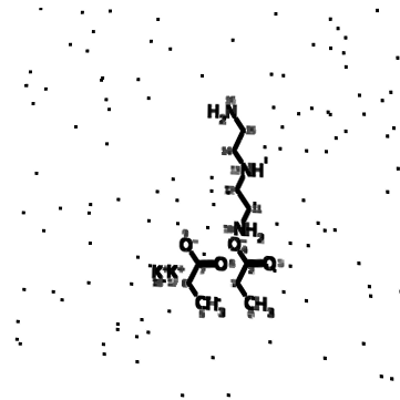 CCC(=O)[O-].CCC(=O)[O-].NCCNCCN.[K+].[K+]